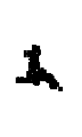 CCC(=O)Nc1cn2nc(-c3cnc(OC)c(C(=O)NCc4cc(OC(F)(F)F)ccc4F)c3)ccc2n1